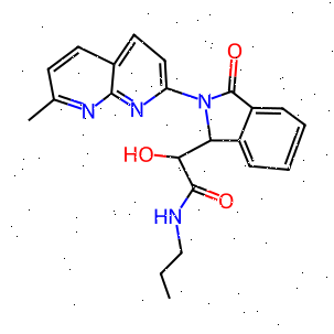 CCCNC(=O)C(O)C1c2ccccc2C(=O)N1c1ccc2ccc(C)nc2n1